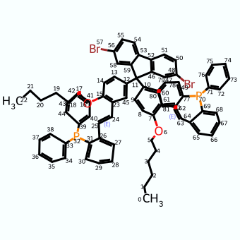 CCCCCCOc1ccc(C2(c3ccc(OCCCCCC)c(/C=C/c4ccccc4P(c4ccccc4)c4ccccc4)c3)c3cc(Br)ccc3-c3ccc(Br)cc32)cc1/C=C/c1ccccc1P(c1ccccc1)c1ccccc1